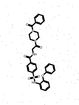 O=C(NCC(=O)N1CCN(C(=O)c2ccccc2)CC1)c1ccc(S(=O)(=O)Nc2ccccc2Oc2ccccc2)cc1